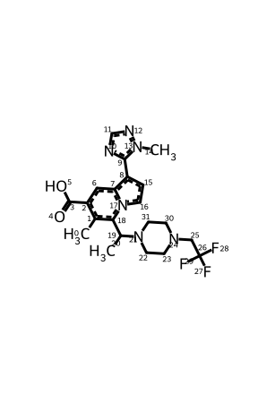 Cc1c(C(=O)O)cc2c(-c3ncnn3C)ccn2c1C(C)N1CCN(CC(F)(F)F)CC1